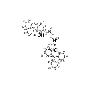 Cc1cc(CN(C)CCN(C)CCc2cc(C)cc(-n3c4ccccc4c4ccccc43)c2O)c(O)c(-c2cccc3ccccc23)c1